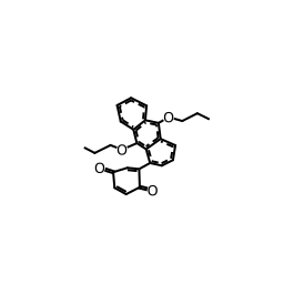 CCCOc1c2ccccc2c(OCCC)c2c(C3=CC(=O)C=CC3=O)cccc12